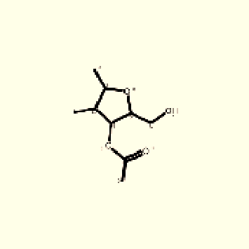 CC(=O)OC1C(CO)OC(C)C1C